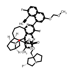 C#Cc1c(F)ccc2cc(OCOC)cc(-c3nc4c5c(nc(OC[C@@]67CCCN6C[C@H](F)C7)nc5c3F)N3C[C@H]5CC[C@@H]([C@H]3CCC4)N5Cc3oc(=O)oc3C)c12